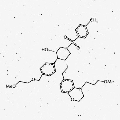 COCCCN1CCOc2ccc(CC[C@H]3CN(S(=O)(=O)c4ccc(C)cc4)C[C@@H](O)[C@@H]3c3ccc(COCCOC)cc3)cc21